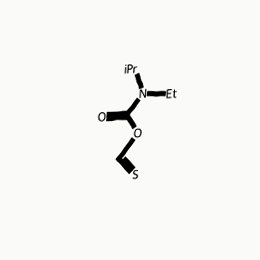 CCN(C(=O)OC=S)C(C)C